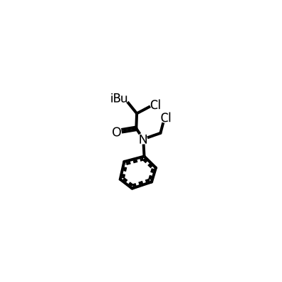 CCC(C)C(Cl)C(=O)N(CCl)c1ccccc1